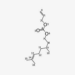 C=CCOC(=O)OCCC(C)CCC=C(C)C